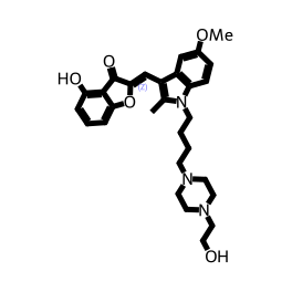 COc1ccc2c(c1)c(/C=C1\Oc3cccc(O)c3C1=O)c(C)n2CCCCN1CCN(CCO)CC1